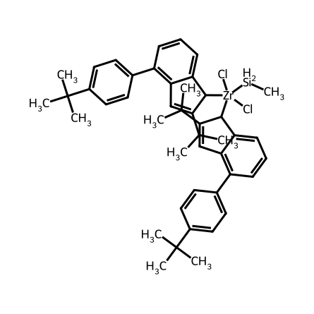 C[SiH2][Zr]([Cl])([Cl])([CH]1C(C(C)C)=Cc2c(-c3ccc(C(C)(C)C)cc3)cccc21)[CH]1C(C(C)C)=Cc2c(-c3ccc(C(C)(C)C)cc3)cccc21